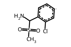 CS(=O)(=O)C(N)c1cc[c]cc1Cl